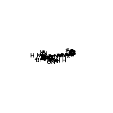 Nc1ncnc2c1c(Br)cn2[C@@H]1C[C@H](CNCCCNCCc2ccccc2F)[C@@H](O)[C@H]1O